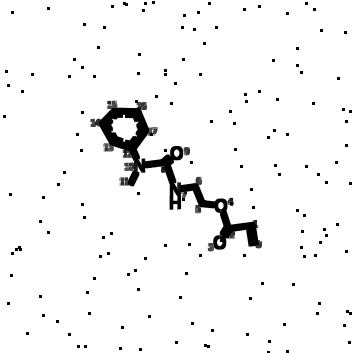 C=CC(=O)OCCNC(=O)N(C)c1ccccc1